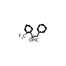 O=[C]N(Cc1ccccc1)c1ccccc1C(F)(F)F